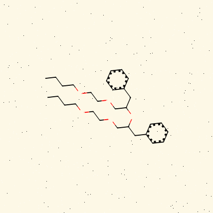 CCCCOCCOCC(Cc1ccccc1)OC(COCCOCCCC)Cc1ccccc1